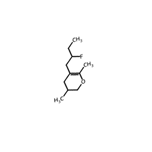 CCC(F)CC1=C(C)OCC(C)C1